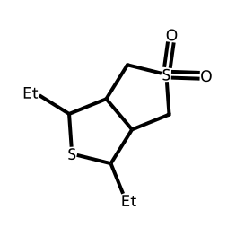 CCC1SC(CC)C2CS(=O)(=O)CC12